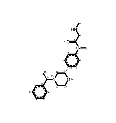 CNCC(=O)N(C)c1ccc([C@H]2CN([C@H](C)c3ccccc3)CCO2)cc1